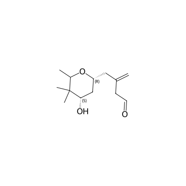 C=C(CC=O)C[C@@H]1C[C@H](O)C(C)(C)C(C)O1